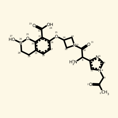 CC(=O)Cn1cnc(C(N)C(=O)N2CC(Oc3ccc4c(c3C(=O)O)OB(O)CC4)C2)c1